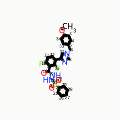 COc1ccc(Cn2cnc(-c3ccc(F)c(C(=O)NNS(=O)(=O)c4ccccc4)c3F)c2)cc1